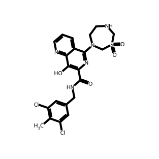 Cc1c(Cl)cc(CNC(=O)c2nc(N3CCNCS(=O)(=O)C3)c3cccnc3c2O)cc1Cl